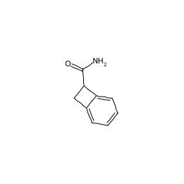 NC(=O)C1Cc2ccccc21